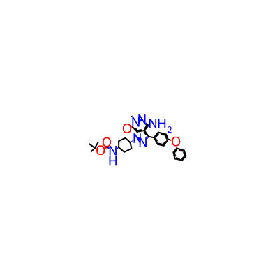 Cn1nc(N)c2c(-c3ccc(Oc4ccccc4)cc3)nn([C@H]3CC[C@@H](NC(=O)OC(C)(C)C)CC3)c2c1=O